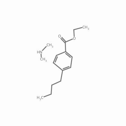 CCCCc1ccc(C(=O)OCC)cc1.CNC